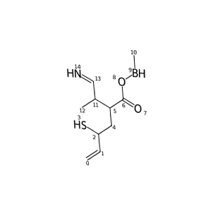 C=CC(S)CC(C(=O)OBC)C(C)C=N